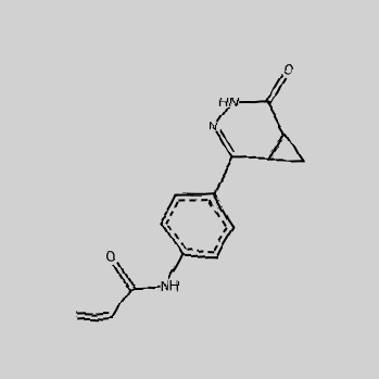 C=CC(=O)Nc1ccc(C2=NNC(=O)C3CC23)cc1